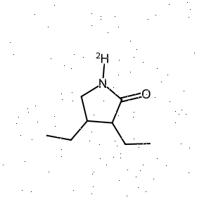 [2H]N1CC(CC)C(CC)C1=O